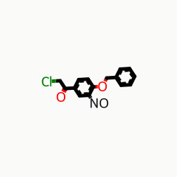 O=Nc1cc(C(=O)CCl)ccc1OCc1ccccc1